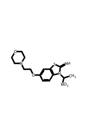 CC(n1c(=N)sc2cc(OCCN3CCOCC3)ccc21)[N+](=O)[O-]